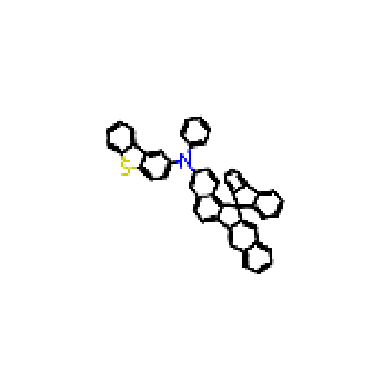 c1ccc(N(c2ccc3c4c(ccc3c2)-c2cc3ccccc3cc2C42c3ccccc3-c3ccccc32)c2ccc3sc4ccccc4c3c2)cc1